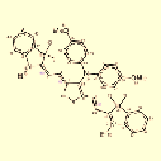 CCN1/C(=C/C=C2\CCC(/C=C/C3=[N+](CC)c4ccccc4C3(C)C)=C2N(c2ccc(OC)cc2)c2ccc(OC)cc2)C(C)(C)c2ccccc21